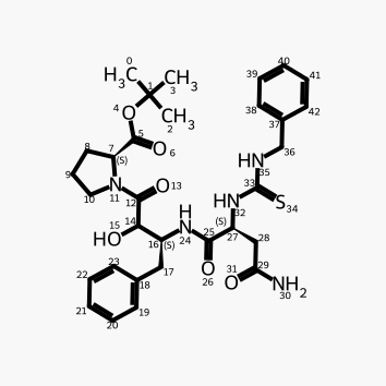 CC(C)(C)OC(=O)[C@@H]1CCCN1C(=O)C(O)[C@H](Cc1ccccc1)NC(=O)[C@H](CC(N)=O)NC(=S)NCc1ccccc1